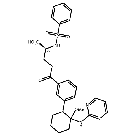 COC1(Nc2ncccn2)CCCCN1c1cccc(C(=O)NC[C@H](NS(=O)(=O)c2ccccc2)C(=O)O)c1